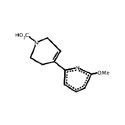 COc1cccc(C2=CCN(C(=O)O)CC2)n1